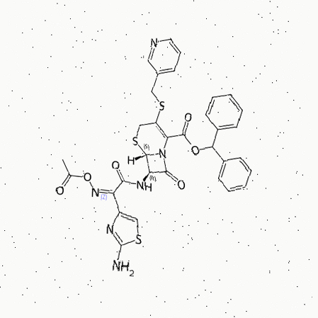 CC(=O)O/N=C(\C(=O)N[C@@H]1C(=O)N2C(C(=O)OC(c3ccccc3)c3ccccc3)=C(SCc3cccnc3)CS[C@@H]12)c1csc(N)n1